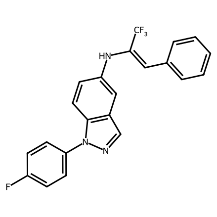 Fc1ccc(-n2ncc3cc(NC(=Cc4ccccc4)C(F)(F)F)ccc32)cc1